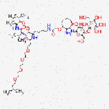 CC(C)CCOCCOCCOCCOCCC(=O)N[C@H](CCCCNC(=O)COC1CCCCCc2c1nnn2[C@H]1O[C@H](CO)[C@@H](O[C@H]2O[C@H](CO)[C@@H](O)[C@H](O)[C@H]2O)[C@H](O)[C@H]1O)C(=O)N[C@H](C(=O)N[C@@H](C)C(=O)C(C)C)C(C)C